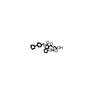 O=C(O)CNC(=O)C1=C(O)C2(CCCC2)CN(Cc2ccc(-c3ccccc3)cc2)C1=O